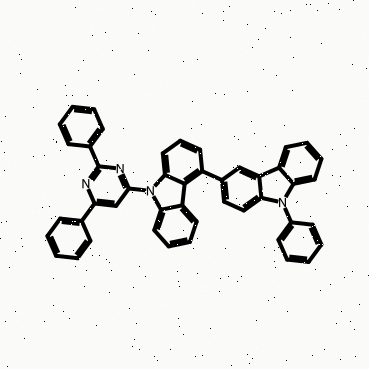 c1ccc(-c2cc(-n3c4ccccc4c4c(-c5ccc6c(c5)c5ccccc5n6-c5ccccc5)cccc43)nc(-c3ccccc3)n2)cc1